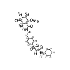 [2H]c1c([2H])c(OC)c(C(=O)NCCc2ccc(S(=O)(=O)NC(=O)NC3CCCCC3)cc2)c([2H])c1Cl